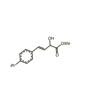 COC(=O)C(O)/C=C/c1ccc(C(C)C)cc1